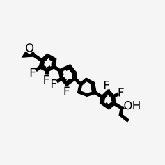 CCC(O)c1ccc(C2=CCC(c3ccc(-c4ccc(C5CO5)c(F)c4F)c(F)c3F)CC2)c(F)c1F